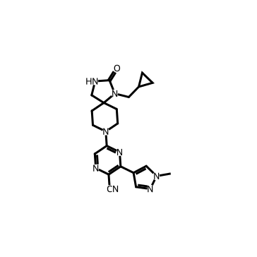 Cn1cc(-c2nc(N3CCC4(CC3)CNC(=O)N4CC3CC3)cnc2C#N)cn1